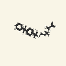 C=C(C)C(=O)OC(C)(C)CCOC(C)(C)c1ccc(C(C)(C)c2ccccc2)cc1